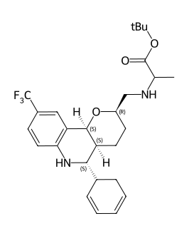 CC(NC[C@H]1CC[C@@H]2[C@H](O1)c1cc(C(F)(F)F)ccc1N[C@H]2C1C=CC=CC1)C(=O)OC(C)(C)C